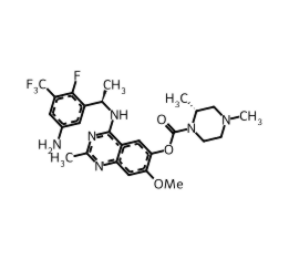 COc1cc2nc(C)nc(N[C@H](C)c3cc(N)cc(C(F)(F)F)c3F)c2cc1OC(=O)N1CCN(C)C[C@H]1C